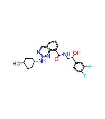 O=C(NCC(O)c1ccc(F)c(F)c1)c1cccc2cnc(N[C@H]3CC[C@H](O)CC3)nc12